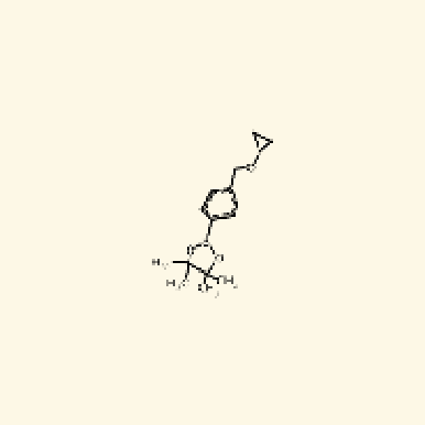 CC1(C)OB(c2ccc(COC3CC3)cc2)OC1(C)C